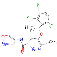 Cc1nnc(C(=O)Nc2cnoc2)cc1OC(C)c1c(Cl)ccc(F)c1Cl